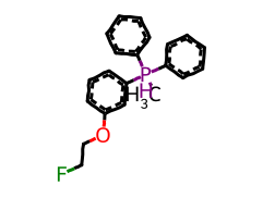 C[PH](c1ccccc1)(c1ccccc1)c1cccc(OCCF)c1